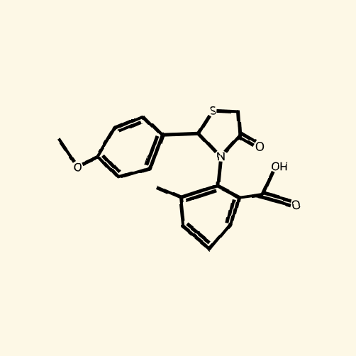 COc1ccc(C2SCC(=O)N2c2c(C)cccc2C(=O)O)cc1